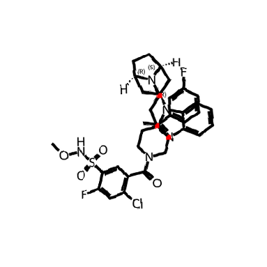 CONS(=O)(=O)c1cc(C(=O)N2CCC(CCN3[C@@H]4CC[C@H]3C[C@@H](n3c(C)nc5ccccc53)C4)(c3cccc(F)c3)CC2)c(Cl)cc1F